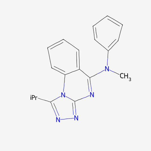 CC(C)c1nnc2nc(N(C)c3ccccc3)c3ccccc3n12